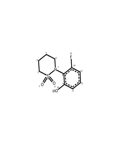 O=S1(=O)CCCCN1c1c(O)cccc1F